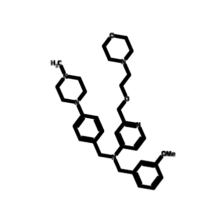 COc1cccc(CN(Cc2ccc(N3CCN(C)CC3)cc2)c2ccnc(COCCN3CCOCC3)c2)c1